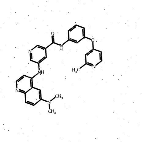 Cc1cc(Oc2cccc(NC(=O)c3cncc(Nc4ccnc5ccc(N(C)C)cc45)c3)c2)ccn1